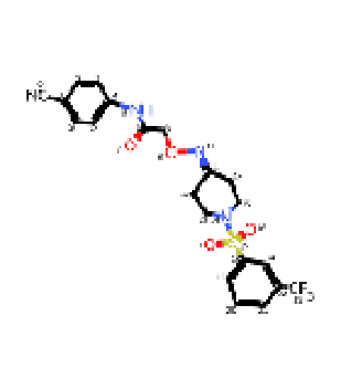 N#Cc1ccc(NC(=O)CON=C2CCN(S(=O)(=O)c3cccc(C(F)(F)F)c3)CC2)cc1